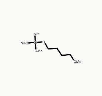 CCC[Si](OC)(OC)OCCCCOC